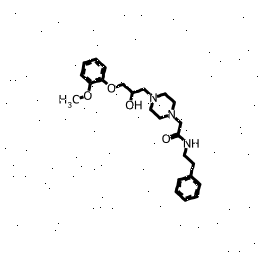 COc1ccccc1OCC(O)CN1CCN(CC(=O)NCCc2ccccc2)CC1